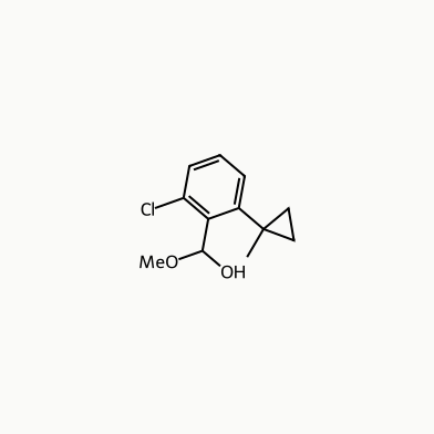 COC(O)c1c(Cl)cccc1C1(C)CC1